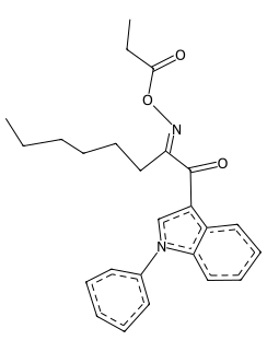 CCCCCC/C(=N\OC(=O)CC)C(=O)c1cn(-c2ccccc2)c2ccccc12